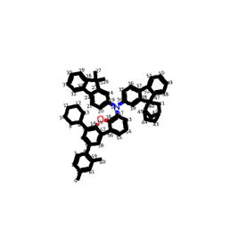 Cc1ccc(-c2cc(C3CCCCC3)c3oc4c(N(c5ccc6c(c5)C(C)(C)c5ccccc5-6)c5ccc6c(c5)C5(CC7CCC5C7)c5ccccc5-6)cccc4c3c2)c(C)c1